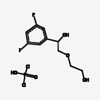 O=P(O)(Cl)Cl.OCCOCC(O)c1cc(F)cc(F)c1